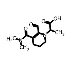 CC(C(=O)O)N1CCCC(C(=O)N(C)C)=C1C=O